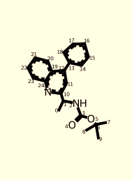 CC(NC(=O)OC(C)(C)C)c1cc(-c2ccccc2)c2ccccc2n1